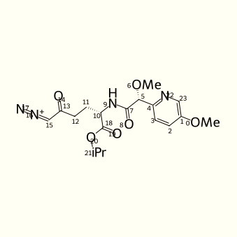 COc1ccc([C@@H](OC)C(=O)N[C@@H](CCC(=O)C=[N+]=[N-])C(=O)OC(C)C)nc1